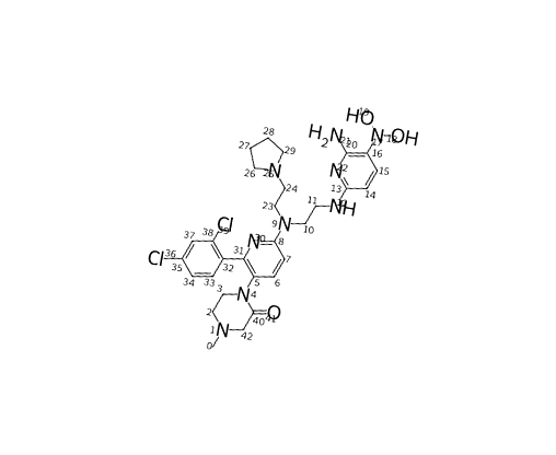 CN1CCN(c2ccc(N(CCNc3ccc(N(O)O)c(N)n3)CCN3CCCC3)nc2-c2ccc(Cl)cc2Cl)C(=O)C1